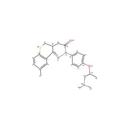 Cc1ccc2c(c1)C1=NN(c3ccc(OC(C)CN(C)C)cc3)C(=O)CC1CS2